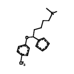 CN(C)CCCCC(Oc1ccc(C(F)(F)F)cc1)c1ccccc1